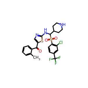 Cc1ccccc1C(=O)c1cnc(NC(C2CCNCC2)S(=O)(=O)c2ccc(C(F)(F)F)cc2Cl)s1